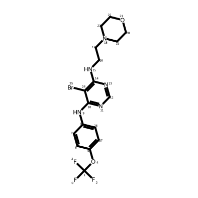 FC(F)(F)Oc1ccc(Nc2ncnc(NCCN3CCOCC3)c2Br)cc1